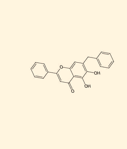 O=c1cc(-c2ccccc2)oc2cc(Cc3ccccc3)c(O)c(O)c12